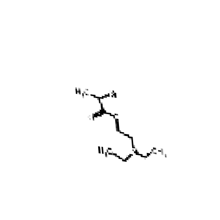 CCN(CC)CCOC(=O)C(C)Br